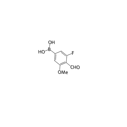 COc1cc(B(O)O)cc(F)c1C=O